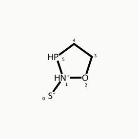 [S-][NH+]1OCCP1